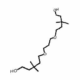 CC(C)(CCO)CCOCCCOCCC(C)(C)CCO